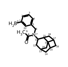 Bc1cccc(CN(C(C)=O)C23CC4CC5CC(C2)C5(C4)C3)c1